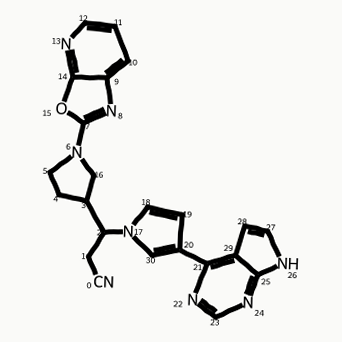 N#CCC(C1CCN(c2nc3cccnc3o2)C1)n1ccc(-c2ncnc3[nH]ccc23)c1